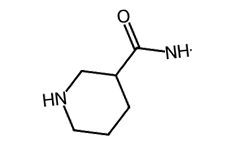 [NH]C(=O)C1CCCNC1